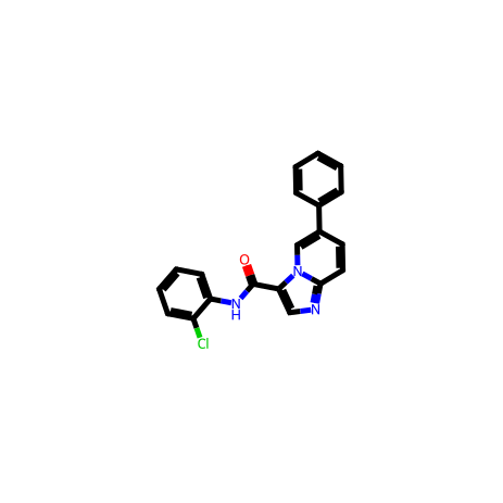 O=C(Nc1ccccc1Cl)c1cnc2ccc(-c3ccccc3)cn12